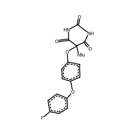 CCCCC1(Oc2ccc(Oc3ccc(F)cc3)cc2)C(=O)NC(=O)NC1=O